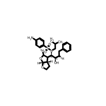 [2H][C](Cc1ccccc1)[C@@H](O)[C@@H](C1C([2H])O[C@H]2OCC[C@@H]12)N(CC(C)C)S(=O)(=O)c1ccc(N)cc1